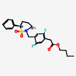 CCCCOC(=O)Cc1cc(F)c(CN2[C@@H](C)CC[C@H](c3ccccc3)S2(=O)=O)cc1F